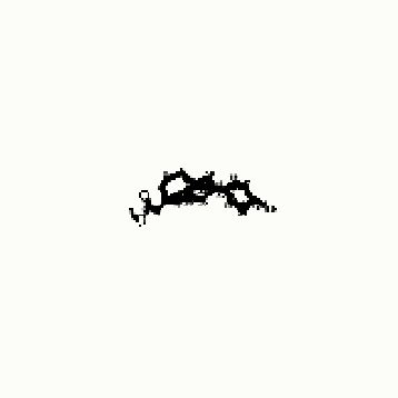 COC(=O)CC12CCCC3CC(c4ccc(I)cc4)(CC3C1)C2